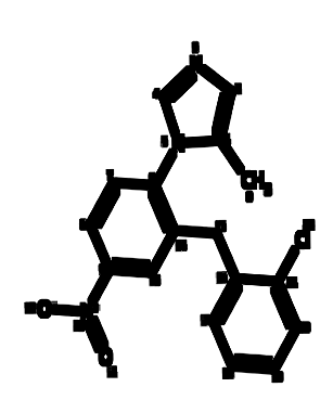 Cc1cncn1-c1ccc([N+](=O)[O-])cc1Cc1ccccc1Cl